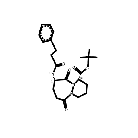 CC(C)(C)OC(=O)[C@@H]1CCCN2C(=O)CC[C@H](NC(=O)CCc3ccccc3)C(=O)N12